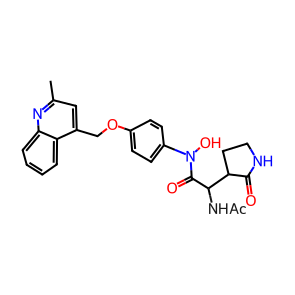 CC(=O)NC(C(=O)N(O)c1ccc(OCc2cc(C)nc3ccccc23)cc1)C1CCNC1=O